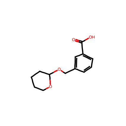 O=C(O)c1cccc(COC2CCCCO2)c1